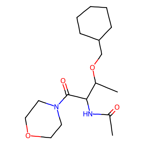 CC(=O)NC(C(=O)N1CCOCC1)C(C)OCC1CCCCC1